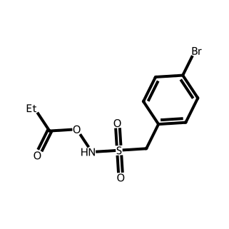 CCC(=O)ONS(=O)(=O)Cc1ccc(Br)cc1